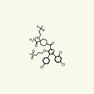 CC(F)(F)CCNC1(C(N)=O)CCN(C(=O)c2sc(-c3ccc(Cl)cc3Cl)c(-c3ccc(Cl)cc3)c2OCCCS(C)(=O)=O)CC1